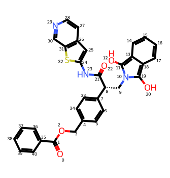 O=C(OCc1ccc([C@@H](Cn2c(O)c3ccccc3c2O)C(=O)Nc2cc3ccncc3s2)cc1)c1ccccc1